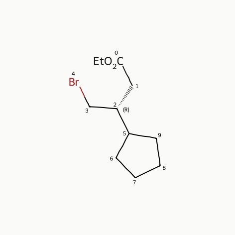 CCOC(=O)C[C@@H](CBr)C1CCCC1